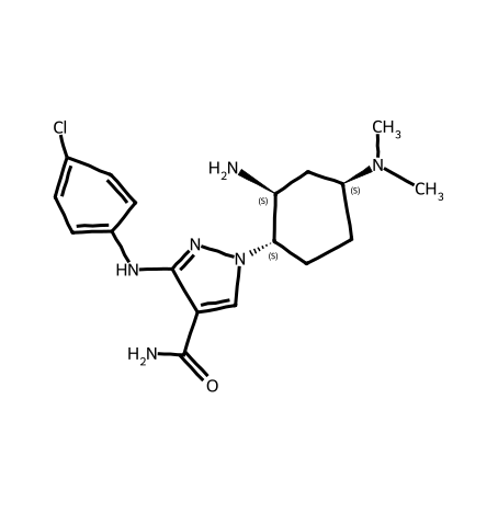 CN(C)[C@H]1CC[C@H](n2cc(C(N)=O)c(Nc3ccc(Cl)cc3)n2)[C@@H](N)C1